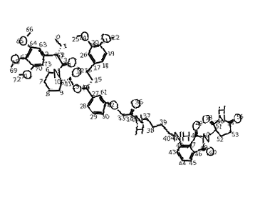 CC[C@H](C(=O)N1CCCC[C@H]1C(=O)O[C@H](CCc1ccc(OC)c(OC)c1)c1cccc(OCC(=O)NCCCCNc2cccc3c2C(=O)N(C2CCC(=O)NC2=O)C3=O)c1)c1cc(OC)c(OC)c(OC)c1